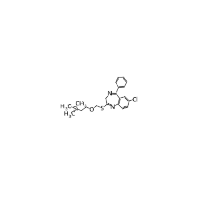 C[Si](C)(C)CCOCSC1=Nc2ccc(Cl)cc2C(c2ccccc2)=NC1